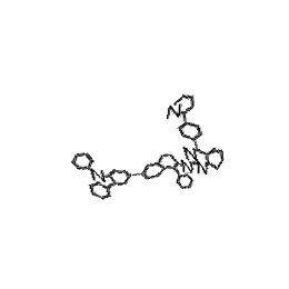 c1ccc(-n2c3ccccc3c3cc(-c4ccc5c(ccc6c5c5ccccc5n6-c5nc(-c6ccc(-c7ccccn7)cc6)c6ccccc6n5)c4)ccc32)cc1